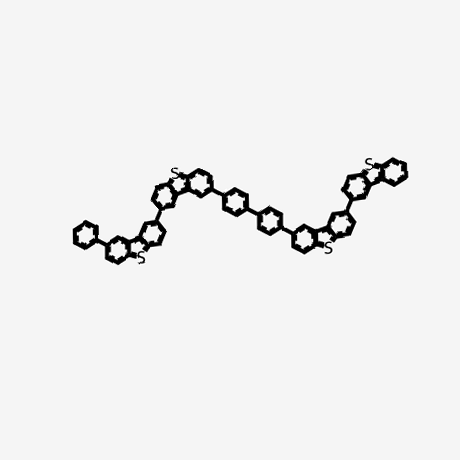 c1ccc(-c2ccc3sc4ccc(-c5ccc6sc7ccc(-c8ccc(-c9ccc(-c%10ccc%11sc%12ccc(-c%13ccc%14sc%15ccccc%15c%14c%13)cc%12c%11c%10)cc9)cc8)cc7c6c5)cc4c3c2)cc1